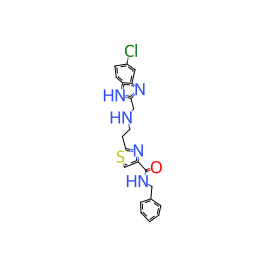 O=C(NCc1ccccc1)c1csc(CCNCc2nc3cc(Cl)ccc3[nH]2)n1